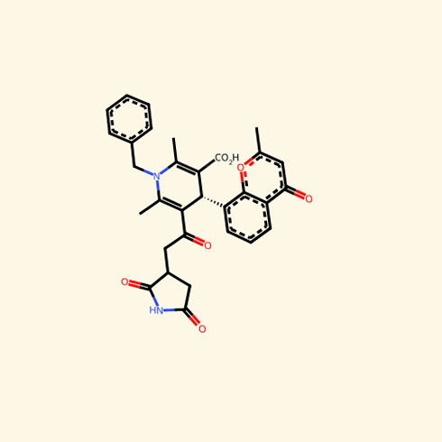 CC1=C(C(=O)O)[C@H](c2cccc3c(=O)cc(C)oc23)C(C(=O)CC2CC(=O)NC2=O)=C(C)N1Cc1ccccc1